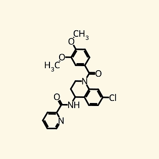 COc1ccc(C(=O)N2CCC(NC(=O)c3ccccn3)c3ccc(Cl)cc32)cc1OC